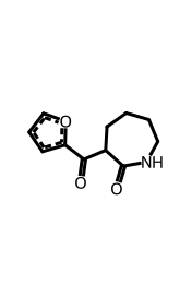 O=C1NCCCCC1C(=O)c1ccco1